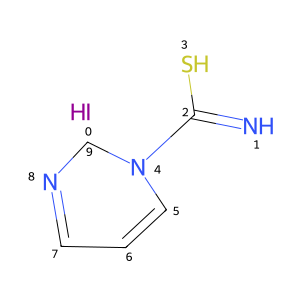 I.N=C(S)N1C=CC=NC1